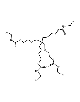 CC(=O)CNC(=O)OCCOCC(COCCOC(=O)NCC(C)=O)(COCCOC(=O)NCC(C)=O)COCCOC(=O)NCC(C)=O